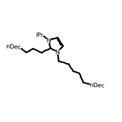 CCCCCCCCCCCCCCCN1C=CN(C(C)C)C1CCCCCCCCCCCCC